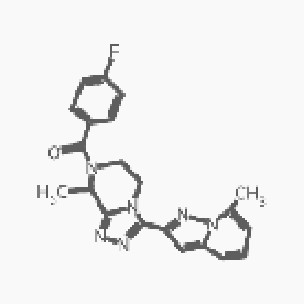 Cc1cccc2cc(-c3nnc4n3CCN(C(=O)c3ccc(F)cc3)C4C)nn12